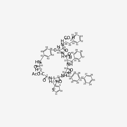 CC(=O)O[C@@H]1CC(=O)N[C@H](Cc2cccs2)C(=O)N[C@@H](Cc2ccc(-c3ccccc3)cc2)C(=O)N[C@H](Cc2ccccc2)C(=O)N[C@@H](C(=O)N[C@@H](Cc2ccccc2)C(=O)O)Cc2ccc(cc2)NC1=O